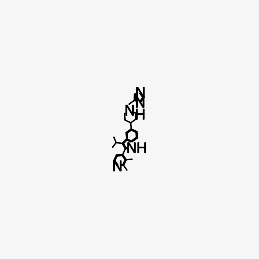 Cc1nccc(-c2[nH]c3ccc(C4CCN(Cc5cnc[nH]5)CC4)cc3c2C(C)C)c1C